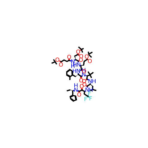 CC[C@H](NC(=O)C(=O)C(CC(F)(F)F)NC(=O)[C@H](CC(C)C)NC(=O)[C@@H](NC(=O)[C@H](Cc1ccccc1C)NC(=O)[C@H](CCC(=O)OC(C)(C)C)NC(=O)[C@H](CC(=O)OC(C)(C)C)NC(=O)CCC(=O)OC(C)(C)C)C(C)(C)C)c1ccccc1